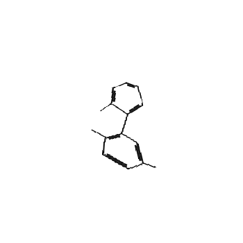 Cc1ccc(C)c(-c2ccccc2O)c1